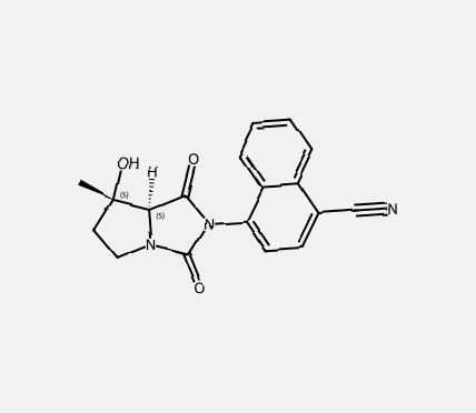 C[C@]1(O)CCN2C(=O)N(c3ccc(C#N)c4ccccc34)C(=O)[C@@H]21